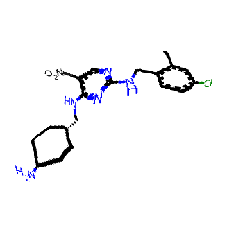 Cc1cc(Cl)ccc1CNc1ncc([N+](=O)[O-])c(NC[C@H]2CC[C@H](N)CC2)n1